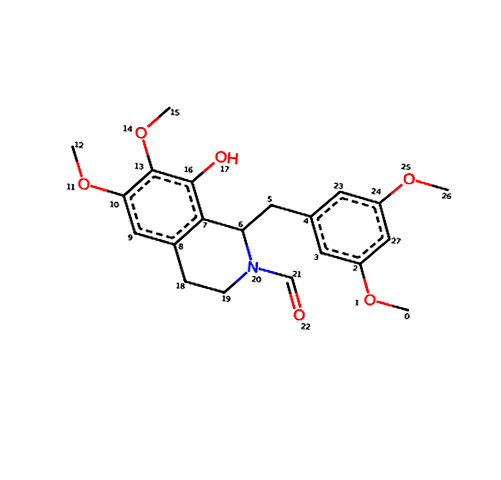 COc1cc(CC2c3c(cc(OC)c(OC)c3O)CCN2C=O)cc(OC)c1